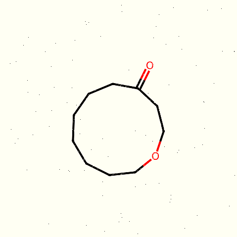 O=C1CCCCCCCOCC1